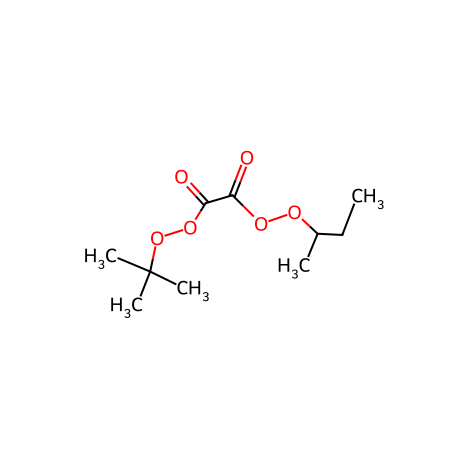 CCC(C)OOC(=O)C(=O)OOC(C)(C)C